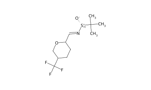 CC(C)(C)[S@@+]([O-])N=CC1CCC(C(F)(F)F)CO1